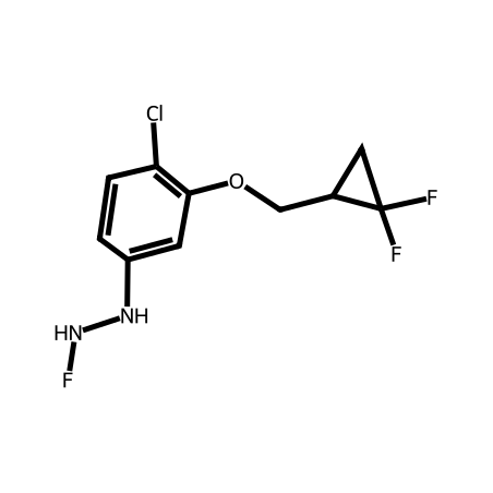 FNNc1ccc(Cl)c(OCC2CC2(F)F)c1